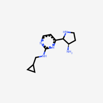 N[C@@H]1CCNC1c1ccnc(NCC2CC2)n1